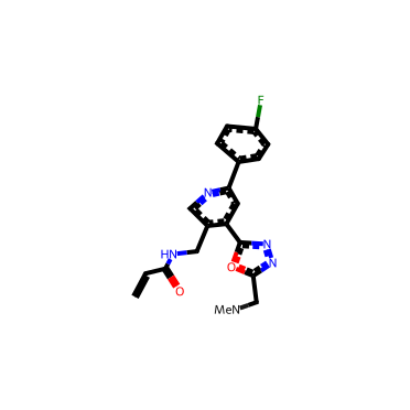 C=CC(=O)NCc1cnc(-c2ccc(F)cc2)cc1-c1nnc(CNC)o1